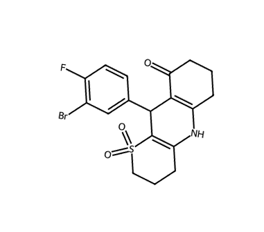 O=C1CCCC2=C1C(c1ccc(F)c(Br)c1)C1=C(CCCS1(=O)=O)N2